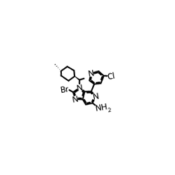 CC([C@H]1CC[C@H](C)CC1)n1c(Br)nc2cc(N)nc(-c3cncc(Cl)c3)c21